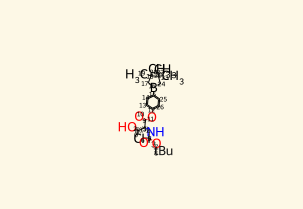 C[C@@H](O)[C@H](NC(=O)OC(C)(C)C)C(=O)Oc1ccc(B2CC(C)(C)C(C)(C)C2)cc1